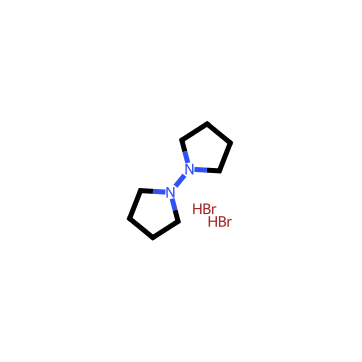 Br.Br.C1CCN(N2CCCC2)C1